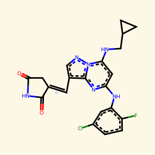 O=C1C/C(=C\c2cnn3c(NCC4CC4)cc(Nc4cc(Cl)ccc4F)nc23)C(=O)N1